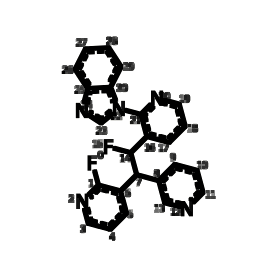 Fc1ncccc1C(c1cccnc1)C(F)c1cccnc1-n1cnc2ccccc21